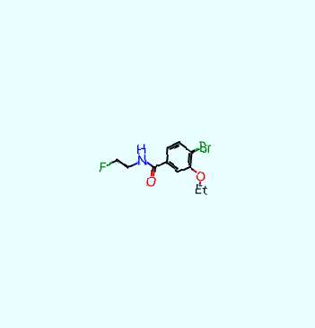 CCOc1cc(C(=O)NCCF)ccc1Br